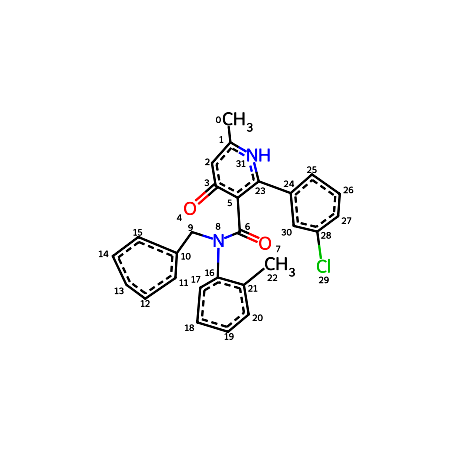 Cc1cc(=O)c(C(=O)N(Cc2ccccc2)c2ccccc2C)c(-c2cccc(Cl)c2)[nH]1